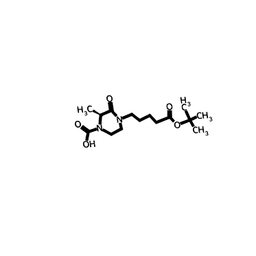 C[C@H]1C(=O)N(CCCCC(=O)OC(C)(C)C)CCN1C(=O)O